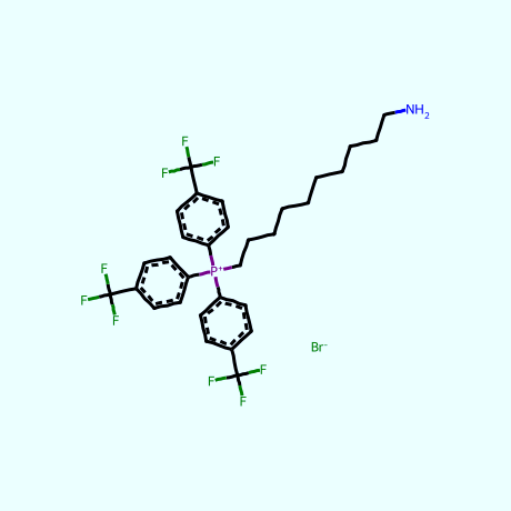 NCCCCCCCCCC[P+](c1ccc(C(F)(F)F)cc1)(c1ccc(C(F)(F)F)cc1)c1ccc(C(F)(F)F)cc1.[Br-]